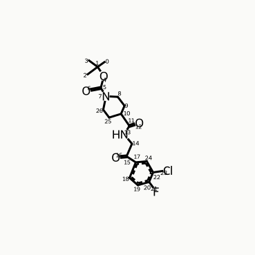 CC(C)(C)OC(=O)N1CCC(C(=O)NCC(=O)c2ccc(F)c(Cl)c2)CC1